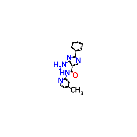 Cc1ccnc(NC(=O)c2cnc(-c3ccccc3)nc2N)c1